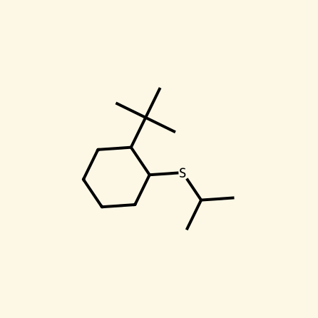 CC(C)SC1CCCCC1C(C)(C)C